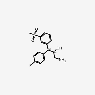 CS(=O)(=O)c1cccc([C@H](c2ccc(F)cc2)[C@@H](O)CN)c1